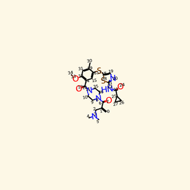 C=C(CN(C)C)C(=O)N1CCN(C(=O)c2cc(Sc3cnc(NC(=O)C4CC4)s3)c(C)cc2OC)CC1